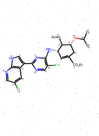 CCOC(=O)C1=C[C@H](Nc2nc(-c3c[nH]c4ncc(Cl)cc34)ncc2F)C(NC(C)=O)[C@H](OC(CC)CC)C1